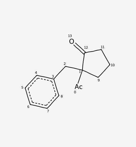 CC(=O)C1(Cc2ccccc2)CCCC1=O